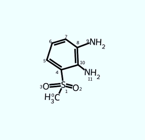 CS(=O)(=O)c1cccc(N)c1N